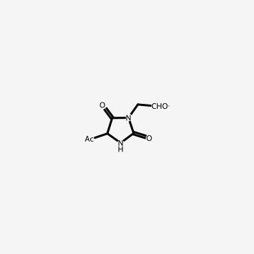 CC(=O)C1NC(=O)N(C[C]=O)C1=O